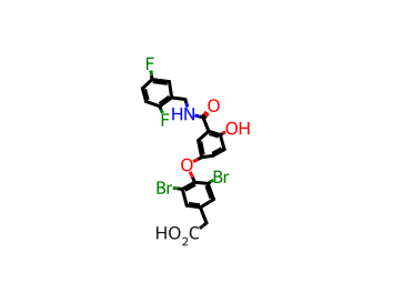 O=C(O)Cc1cc(Br)c(Oc2ccc(O)c(C(=O)NCc3cc(F)ccc3F)c2)c(Br)c1